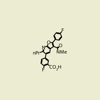 CCCc1nc2oc(-c3ccc(F)cc3)c(C(=O)NC)c2cc1-c1ccc(F)c(C(=O)O)c1